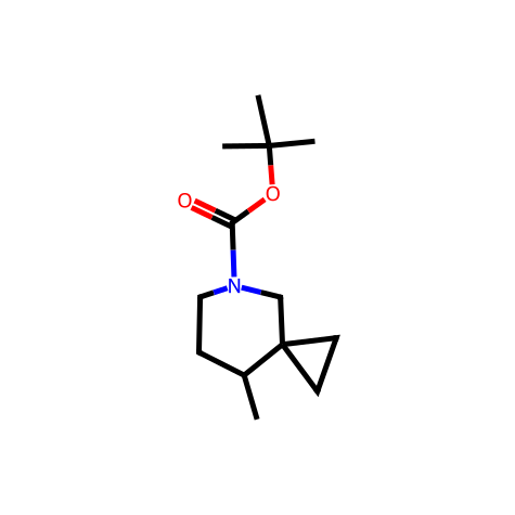 CC1CCN(C(=O)OC(C)(C)C)CC12CC2